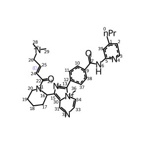 CCCc1ccnc(NC(=O)c2ccc(C3=NC(C4CCCCN4C(=O)/C=C/CN(C)C)=C4C=NC=C[N+]34C)cc2)c1